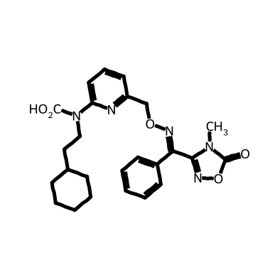 Cn1c(C(=NOCc2cccc(N(CCC3CCCCC3)C(=O)O)n2)c2ccccc2)noc1=O